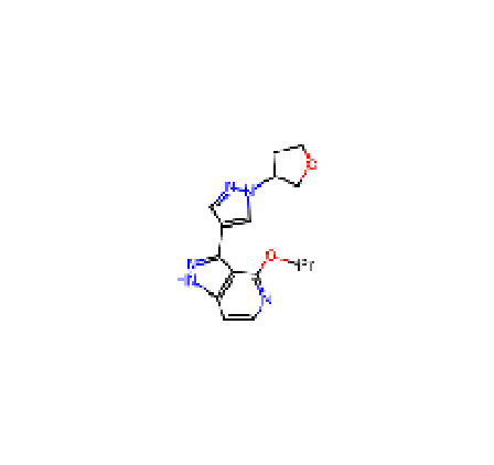 CC(C)Oc1nccc2[nH]nc(-c3cnn(C4CCOC4)c3)c12